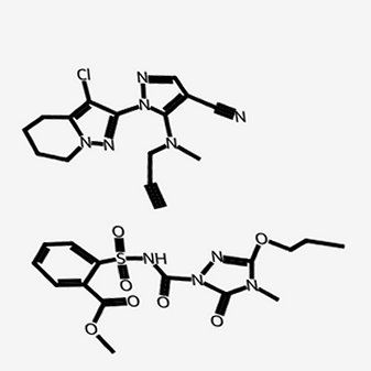 C#CCN(C)c1c(C#N)cnn1-c1nn2c(c1Cl)CCCC2.CCCOc1nn(C(=O)NS(=O)(=O)c2ccccc2C(=O)OC)c(=O)n1C